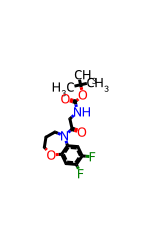 CC(C)(C)OC(=O)NCC(=O)N1CCCOc2cc(F)c(F)cc21